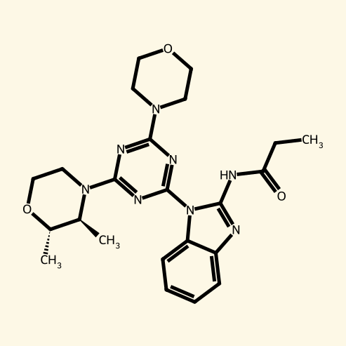 CCC(=O)Nc1nc2ccccc2n1-c1nc(N2CCOCC2)nc(N2CCO[C@@H](C)[C@@H]2C)n1